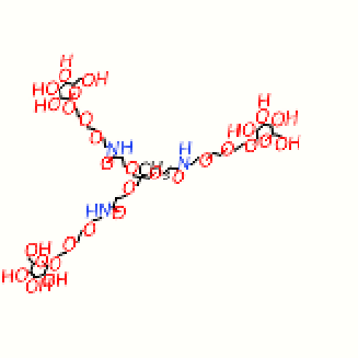 CC(COCCC(=O)NCCOCCOCCO[C@H]1OC(CO)[C@@H](O)C(O)[C@H]1O)(COCCC(=O)NCCOCCOCCO[C@H]1OC(CO)[C@@H](O)C(O)[C@H]1O)COCCC(=O)NCCOCCOCCO[C@H]1OC(CO)[C@@H](O)C(O)[C@H]1O